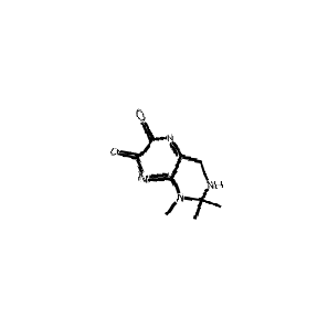 CN1C2=NC(=O)C(=O)N=C2CNC1(C)C